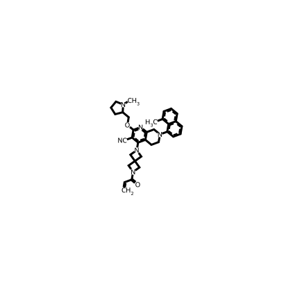 C=CC(=O)N1CC2(C1)CN(c1c(C#N)c(OCC3CCCN3C)nc3c1CCN(c1cccc4cccc(C)c14)C3)C2